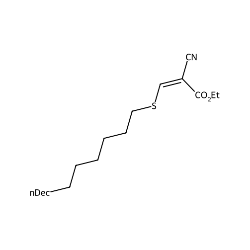 CCCCCCCCCCCCCCCCS/C=C(/C#N)C(=O)OCC